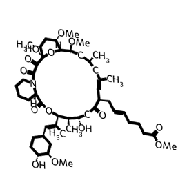 COC(=O)CCC/C=C/C[C@@H]1/C=C(\C)C[C@H](C)C[C@H](OC)[C@H]2O[C@@](O)(C(=O)C(=O)N3CCCC[C@H]3C(=O)O[C@H](/C(C)=C/[C@@H]3CC[C@@H](O)[C@H](OC)C3)[C@H](C)[C@@H](O)CC1=O)[C@H](C)C[C@@H]2OC